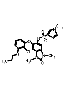 CCCOc1cccc(Oc2cc3c(cc2NS(=O)(=O)c2cn(C)cn2)n(C)c(=O)n3C)c1Cl